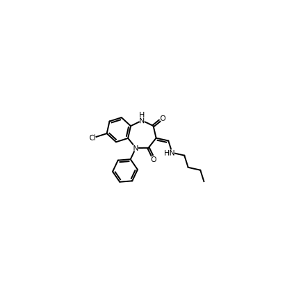 CCCCNC=C1C(=O)Nc2ccc(Cl)cc2N(c2ccccc2)C1=O